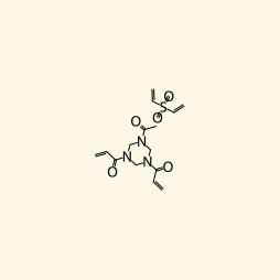 C=CC(=O)N1CN(C(C)=O)CN(C(=O)C=C)C1.C=CS(=O)(=O)C=C